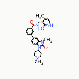 Cc1cc[nH]c(=O)c1CNC(=O)c1cccc(-c2ccc3c(c2)n(C)c(=O)n3C2CCN(C)CC2)c1